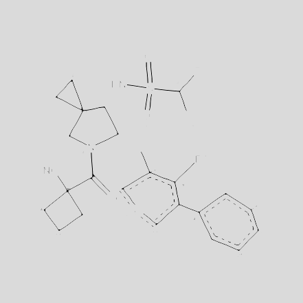 N#CC1(C(=O)N2CC3(CC3)[C@H](NS(=O)(=O)C(F)F)[C@@H]2Cc2cccc(-c3ccccc3)c2F)CCC1